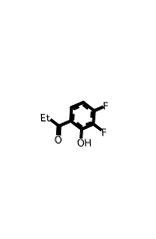 CCC(=O)c1ccc(F)c(F)c1O